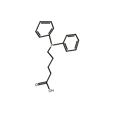 O=C(O)CCCCP(c1ccccc1)c1ccccc1